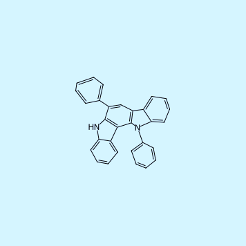 c1ccc(-c2cc3c4ccccc4n(-c4ccccc4)c3c3c2[nH]c2ccccc23)cc1